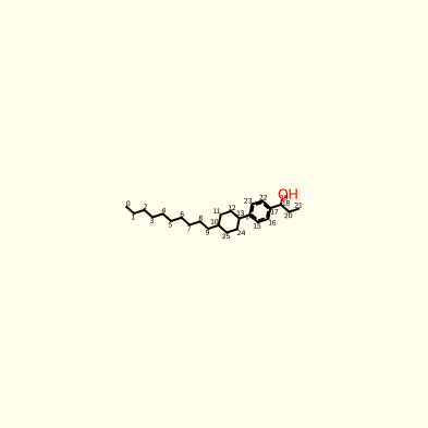 CCCCCCCCCCC1CCC(c2ccc(C(O)CC)cc2)CC1